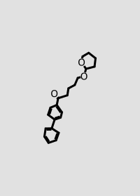 O=C(CCCCOC1CCCCO1)c1ccc(-c2ccccc2)cc1